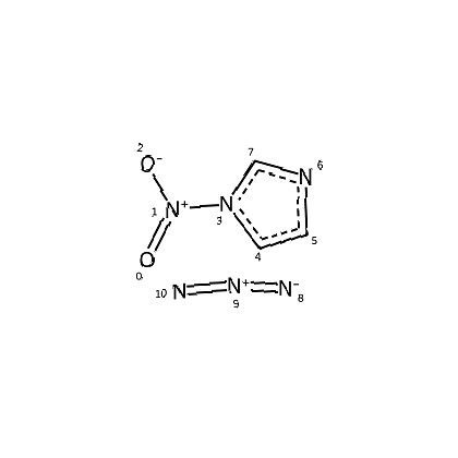 O=[N+]([O-])n1ccnc1.[N-]=[N+]=[N-]